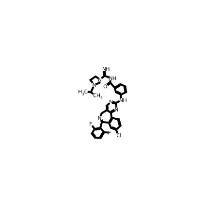 CC(C)N1CCN(C(=N)NC(=O)c2cccc(Nc3ncc4c(n3)-c3ccc(Cl)cc3C(c3c(F)cccc3F)=NC4)c2)C1